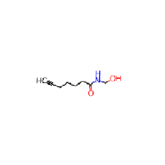 C#CCCCCC(=O)NCO